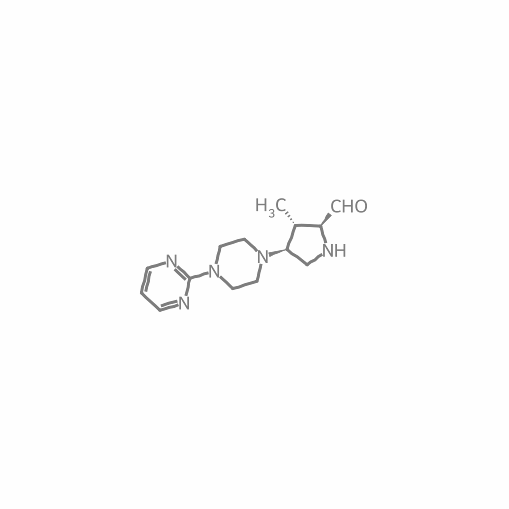 C[C@H]1[C@H](N2CCN(c3ncccn3)CC2)CN[C@@H]1C=O